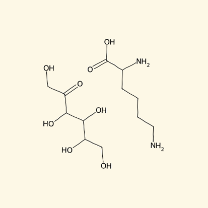 NCCCCC(N)C(=O)O.O=C(CO)C(O)C(O)C(O)CO